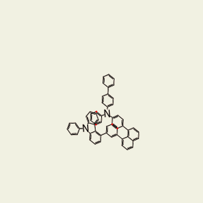 c1ccc(-c2ccc(N(c3ccccc3)c3ccc(-c4cccc5cccc(-c6cccc(-c7cccc8c7c7ccccc7n8-c7ccccc7)c6)c45)cc3)cc2)cc1